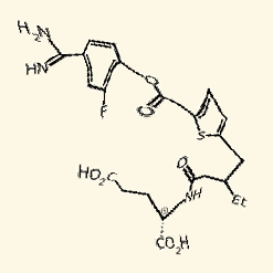 CCC(Cc1ccc(C(=O)Oc2ccc(C(=N)N)cc2F)s1)C(=O)N[C@@H](CCC(=O)O)C(=O)O